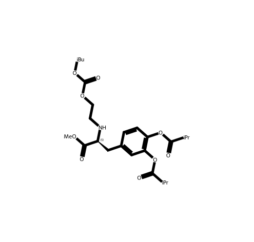 CCC(C)OC(=O)OCCN[C@@H](Cc1ccc(OC(=O)C(C)C)c(OC(=O)C(C)C)c1)C(=O)OC